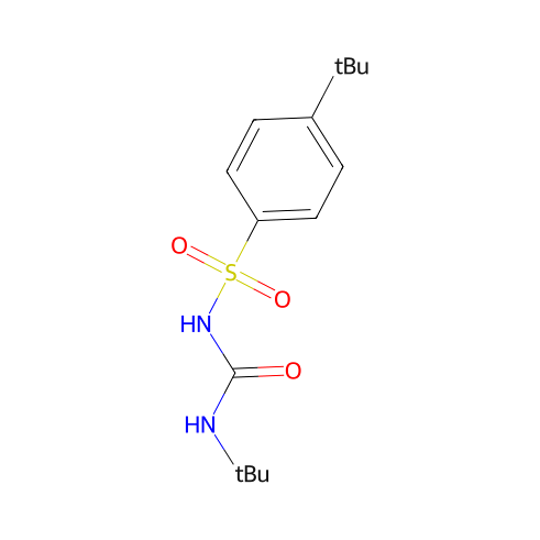 CC(C)(C)NC(=O)NS(=O)(=O)c1ccc(C(C)(C)C)cc1